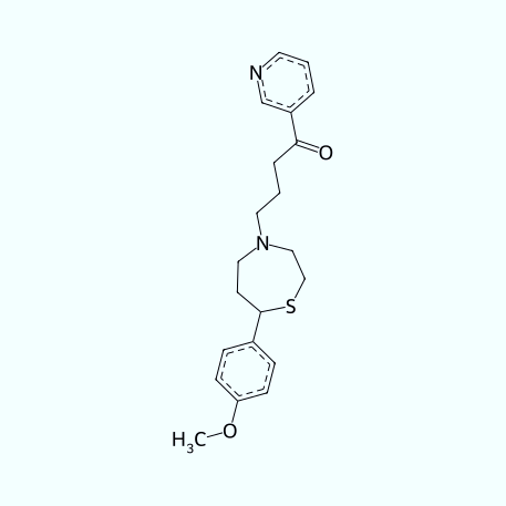 COc1ccc(C2CCN(CCCC(=O)c3cccnc3)CCS2)cc1